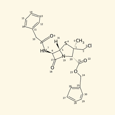 C[C@@]1(CCl)S[C@H]2[C@H](NC(=O)Cc3ccccc3)C(=O)N2[C@H]1C(=O)OCc1ccccc1